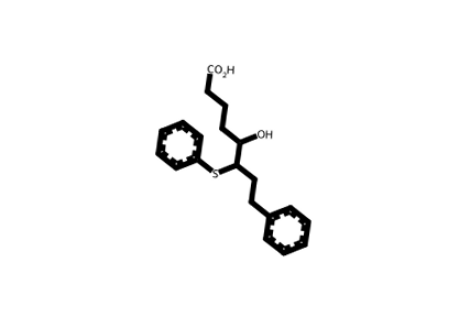 O=C(O)CCCC(O)C(CCc1ccccc1)Sc1ccccc1